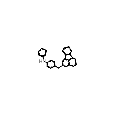 c1ccc(Nc2ccc(Cc3cc4c5c(cccc5c3)-c3ccccc3-4)cc2)cc1